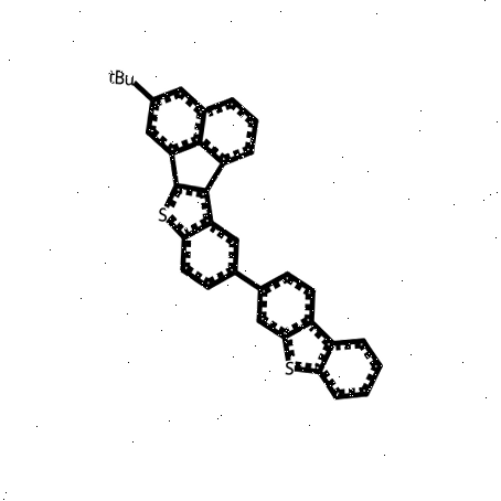 CC(C)(C)c1cc2c3c(cccc3c1)-c1c-2sc2ccc(-c3ccc4c(c3)sc3ccccc34)cc12